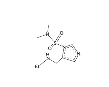 CCNCc1cncn1S(=O)(=O)N(C)C